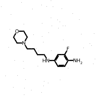 Nc1ccc(NCCCCN2CCOCC2)cc1F